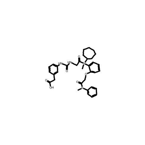 CN(C(=O)COc1ccccc1[N+](C)(C(=O)CNC(=O)Nc1cccc(CC(=O)O)c1)C1CCCCCC1)c1ccccc1